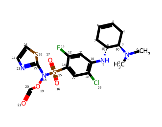 CN(C)[C@@H]1CC=CC[C@H]1Nc1cc(F)c(S(=O)(=O)N(OC=O)c2nccs2)cc1Cl